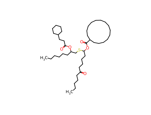 CCCCCCC(CSC(CCCCC(=O)CCCCC)OC(=O)C1CCCCCCCCCCCCCC1)OC(=O)CCC1CCCCC1